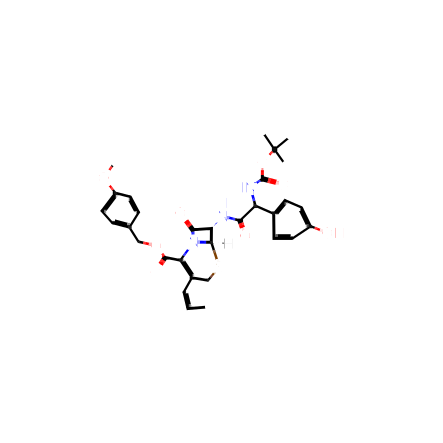 C/C=C\C1=C(C(=O)OCc2ccc(OC)cc2)N2C(=O)[C@@H](NC(=O)C(NC(=O)OC(C)(C)C)c3ccc(O)cc3)[C@H]2SC1